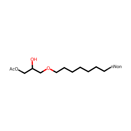 CCCCCCCCCCCCCCCCOCC(O)COC(C)=O